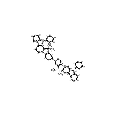 CC1(C)c2cc(-c3ccc4c(c3)C(C)(C)c3c-4ccc4c5ccccc5n(-c5ccccc5)c34)ccc2-c2cc3c(cc21)c1ccccc1n3-c1ccccc1